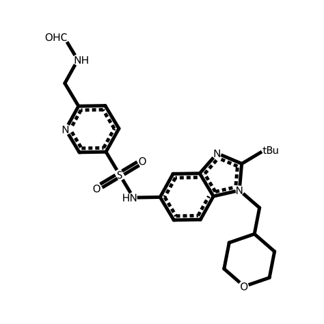 CC(C)(C)c1nc2cc(NS(=O)(=O)c3ccc(CNC=O)nc3)ccc2n1CC1CCOCC1